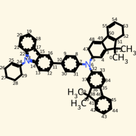 CC1(C)C2=CC(N(c3ccc(-c4ccc5c(c4)c4ccccc4n5C4=CCCCC4)cc3)c3ccc4c(c3)C(C)(C)c3ccccc3-4)CC=C2C2=C1CCC=C2